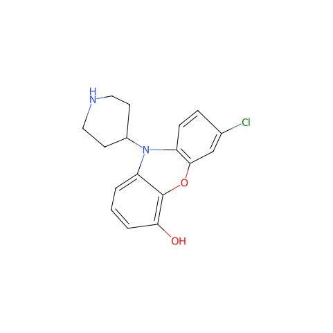 Oc1cccc2c1Oc1cc(Cl)ccc1N2C1CCNCC1